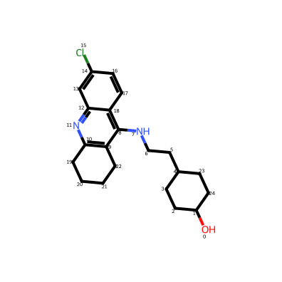 OC1CCC(CCNc2c3c(nc4cc(Cl)ccc24)CCCC3)CC1